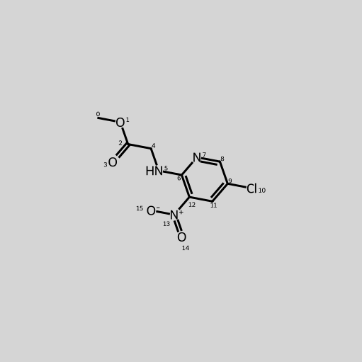 COC(=O)CNc1ncc(Cl)cc1[N+](=O)[O-]